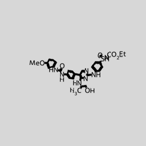 CCOC(=O)N=[SH](=O)c1ccc(Nc2ncc(-c3ccc(NC(=O)Nc4cccc(OC)c4)cc3)c(NC(C)CO)n2)cc1